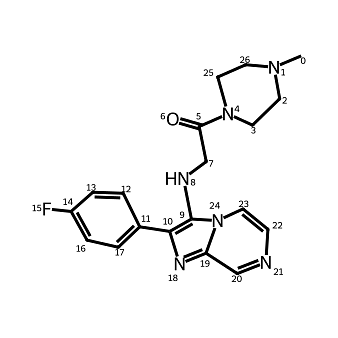 CN1CCN(C(=O)CNc2c(-c3ccc(F)cc3)nc3cnccn23)CC1